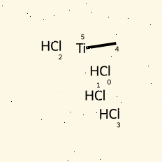 Cl.Cl.Cl.Cl.[CH3][Ti]